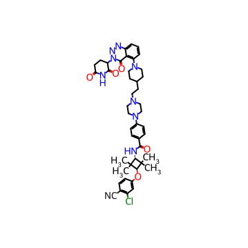 CC1(C)[C@H](NC(=O)c2ccc(N3CCN(CCC4CCN(c5cccc6nnn(C7CCC(=O)NC7=O)c(=O)c56)CC4)CC3)cc2)C(C)(C)[C@H]1Oc1ccc(C#N)c(Cl)c1